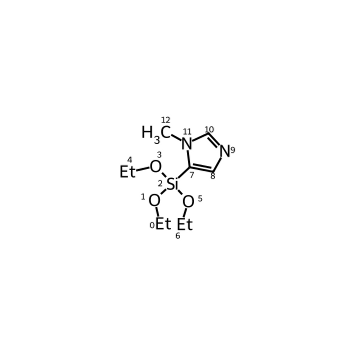 CCO[Si](OCC)(OCC)c1cncn1C